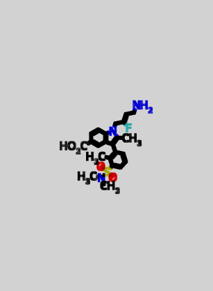 Cc1c(-c2c(C)n(C/C(F)=C/CN)c3ccc(C(=O)O)cc23)cccc1S(=O)(=O)N(C)C